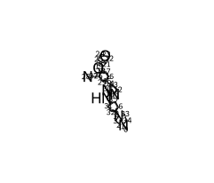 CN1CCN(c2ccc(Nc3nccc(-c4ccc(OC5CCOCC5)c(C#N)c4)n3)cc2)CC1